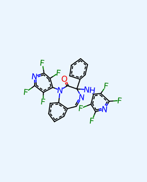 O=C1N(c2c(F)c(F)nc(F)c2F)c2ccccc2C=NC1(Nc1c(F)c(F)nc(F)c1F)c1ccccc1